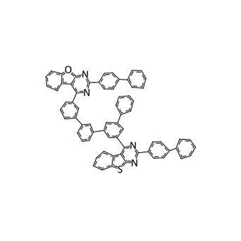 c1ccc(-c2ccc(-c3nc(-c4cccc(-c5cccc(-c6cc(-c7ccccc7)cc(-c7nc(-c8ccc(-c9ccccc9)cc8)nc8sc9ccccc9c78)c6)c5)c4)c4c(n3)oc3ccccc34)cc2)cc1